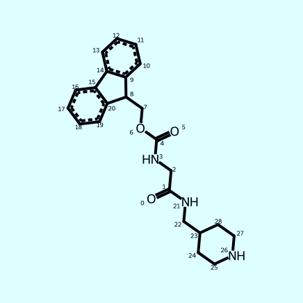 O=C(CNC(=O)OCC1c2ccccc2-c2ccccc21)NCC1CCNCC1